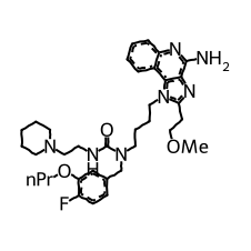 CCCOc1cc(CN(CCCCn2c(CCOC)nc3c(N)nc4ccccc4c32)C(=O)NCCN2CCCCC2)ccc1F